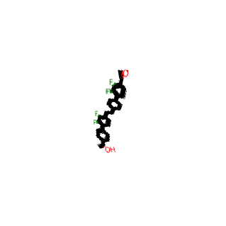 CC(O)C1CC=C(c2ccc(CCC3CCC(c4ccc(C5CO5)c(F)c4F)CC3)c(F)c2F)CC1